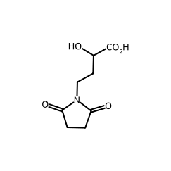 O=C(O)C(O)CCN1C(=O)CCC1=O